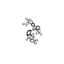 Cc1cc(-c2cc3c(cc2Nc2cccc4c2C(=O)N([C@@H]2CCC(=O)NC2=O)C4=O)N(C)C(=O)OC3)ccn1